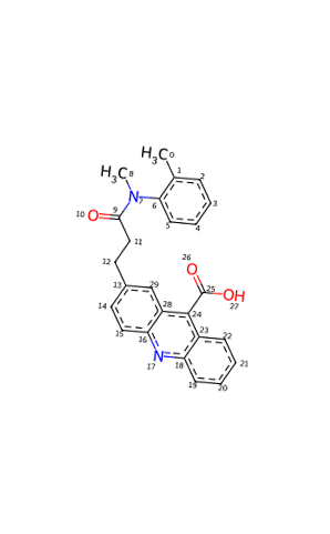 Cc1ccccc1N(C)C(=O)CCc1ccc2nc3ccccc3c(C(=O)O)c2c1